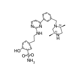 C[C@H]1CN(Cc2cccc(-c3ccnc(NCCc4ccc(O)c(S(N)(=O)=O)c4)n3)c2)[C@@H](C)CN1